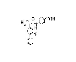 CC(C(=O)Nc1ccc(CO)cc1)c1ccc(-c2ccccc2)c(F)c1